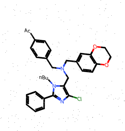 CCCCn1c(-c2ccccc2)nc(Cl)c1CN(Cc1ccc(C(C)=O)cc1)Cc1ccc2c(c1)OCCO2